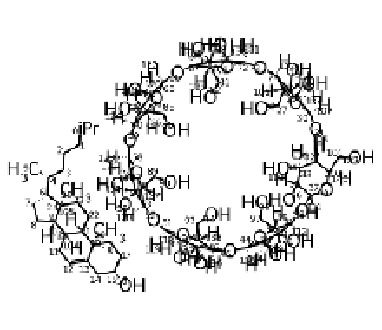 CC(C)CCC[C@@H](C)[C@H]1CC[C@H]2[C@@H]3CC=C4C[C@@H](O)CC[C@]4(C)[C@H]3CC[C@]12C.OC[C@H]1O[C@@H]2O[C@H]3[C@H](O)[C@@H](O)[C@@H](O[C@H]4[C@H](O)[C@@H](O)[C@@H](O[C@H]5[C@H](O)[C@@H](O)[C@@H](O[C@H]6[C@H](O)[C@@H](O)[C@@H](O[C@H]7[C@H](O)[C@@H](O)[C@@H](O[C@H]8[C@H](O)[C@@H](O)[C@@H](O[C@H]1[C@H](O)[C@H]2O)O[C@@H]8CO)O[C@@H]7CO)O[C@@H]6CO)O[C@@H]5CO)O[C@@H]4CO)O[C@@H]3CO